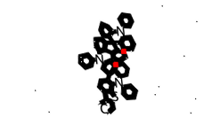 C1=CCCC(N(c2ccccc2)c2c(-c3cccc(N(c4ccccc4)c4cccc5c4-c4ccccc4C54c5ccccc5N(c5ccccc5)c5ccccc54)c3)ccc3c2sc2ccccc23)=C1